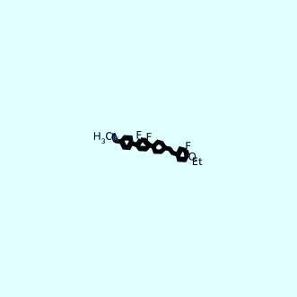 C/C=C/c1ccc(-c2ccc(C3CCC(CCc4ccc(OCC)c(F)c4)CC3)c(F)c2F)cc1